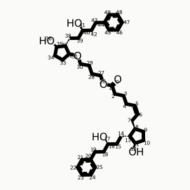 O=C(CCC/C=C\C[C@H]1CC[C@@H](O)[C@@H]1CC[C@@H](O)CCc1ccccc1)OCCCCOC1CC[C@@H](O)[C@@H]1CC[C@@H](O)CCc1ccccc1